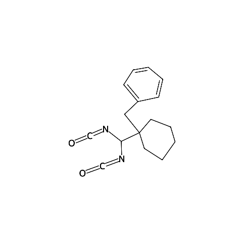 O=C=NC(N=C=O)C1(Cc2ccccc2)CCCCC1